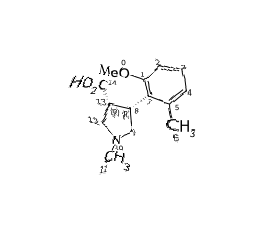 COc1cccc(C)c1[C@@H]1CN(C)C[C@@H]1C(=O)O